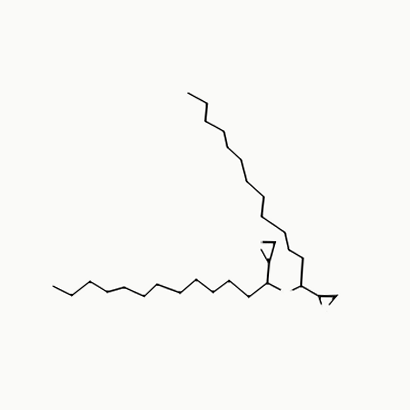 CCCCCCCCCCCCC(OC(CCCCCCCCCCCC)C1CO1)C1CO1